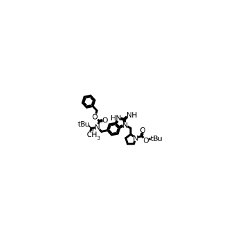 C[C@H](N(Cc1ccc2c(c1)[nH]c(=N)n2CC1CCCN1C(=O)OC(C)(C)C)C(=O)OCc1ccccc1)C(C)(C)C